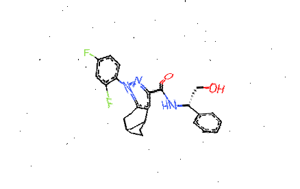 O=C(N[C@H](CO)c1ccccc1)c1nn(-c2ccc(F)cc2F)c2c1C1CC1C2